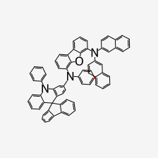 c1ccc(N2c3ccccc3C3(c4ccccc4-c4ccccc43)c3ccc(N(c4ccccc4)c4cccc5c4oc4c(N(c6ccc7ccccc7c6)c6ccc7ccccc7c6)cccc45)cc32)cc1